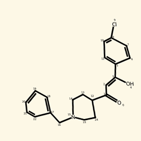 O=C(/C=C(\O)c1ccc(Cl)cc1)C1CCN(Cc2ccccc2)CC1